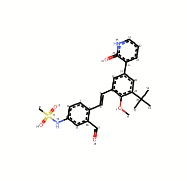 COc1c(/C=C/c2ccc(NS(C)(=O)=O)cc2C=O)cc(-c2ccc[nH]c2=O)cc1C(C)(C)C